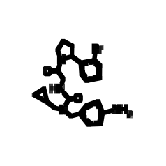 Nc1ccc(CN(CC2CC2)C(=O)NCC(=O)N2CCCC2c2ccccc2Br)cc1